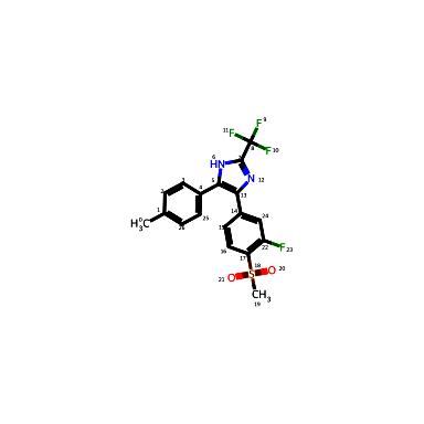 Cc1ccc(-c2[nH]c(C(F)(F)F)nc2-c2ccc(S(C)(=O)=O)c(F)c2)cc1